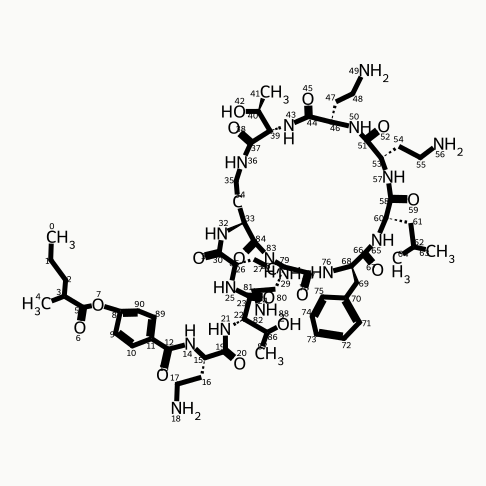 CCCC(C)C(=O)Oc1ccc(C(=O)N[C@@H](CCN)C(=O)N[C@H](C(=O)N[C@@H](CCN)C(=O)N[C@H]2CCNC(=O)[C@H]([C@H](C)O)NC(=O)[C@H](CCN)NC(=O)[C@H](CCN)NC(=O)[C@H](CC(C)C)NC(=O)[C@@H](Cc3ccccc3)NC(=O)[C@H](CCN)NC2=O)C(C)O)cc1